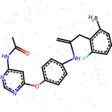 Bc1cccc(F)c1CC(=C)Nc1ccc(Oc2cc(NC(C)=O)ncn2)cc1